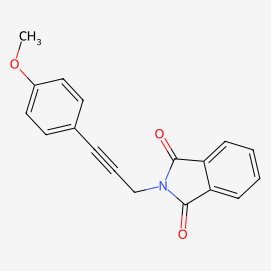 COc1ccc(C#CCN2C(=O)c3ccccc3C2=O)cc1